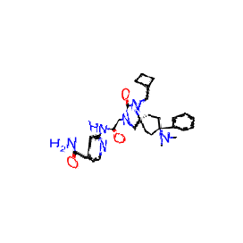 CN(C)[C@]1(c2ccccc2)CC[C@]2(CC1)CN(CC(=O)Nc1cc(C(N)=O)ccn1)C(=O)N2CC1CCC1